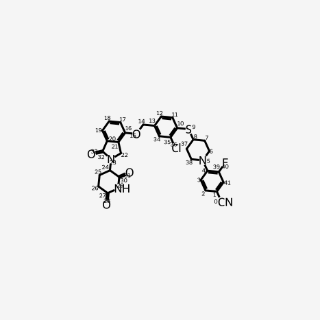 N#Cc1ccc(N2CCC(Sc3ccc(COc4cccc5c4CN(C4CCC(=O)NC4=O)C5=O)cc3Cl)CC2)c(F)c1